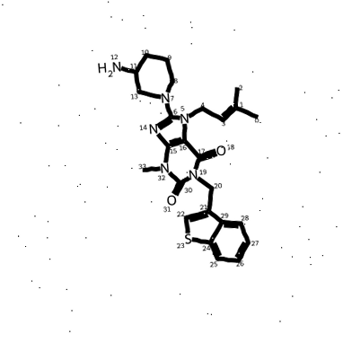 CC(C)=CCn1c(N2CCCC(N)C2)nc2c1c(=O)n(Cc1csc3ccccc13)c(=O)n2C